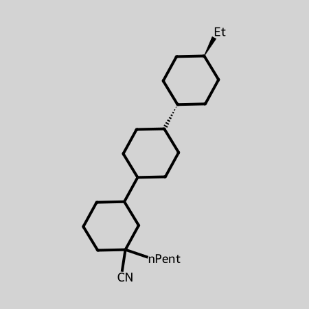 CCCCCC1(C#N)CCCC(C2CCC([C@H]3CC[C@H](CC)CC3)CC2)C1